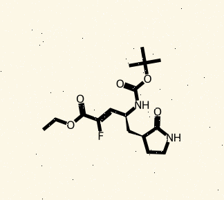 CCOC(=O)/C(F)=C/[C@H](C[C@@H]1CCNC1=O)NC(=O)OC(C)(C)C